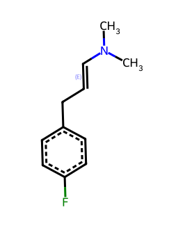 CN(C)/C=C/Cc1ccc(F)cc1